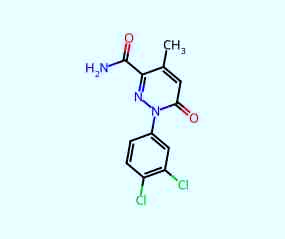 Cc1cc(=O)n(-c2ccc(Cl)c(Cl)c2)nc1C(N)=O